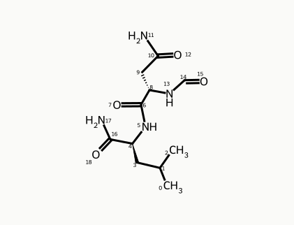 CC(C)C[C@H](NC(=O)[C@H](CC(N)=O)NC=O)C(N)=O